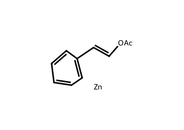 CC(=O)OC=Cc1ccccc1.[Zn]